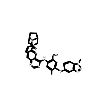 C=CC(=O)N1C2CCC1CN(c1ccc3ncnc(Nc4cc(C)c(Oc5ccc6c(c5)nnn6C)cc4OC)c3n1)C2